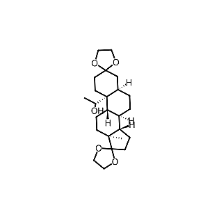 CC(O)[C@]12CCC3(C[C@H]1CC[C@@H]1[C@@H]2CC[C@@]2(C)[C@H]1CCC21OCCO1)OCCO3